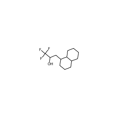 OC(CC1CCCC2CCCCC21)C(F)(F)F